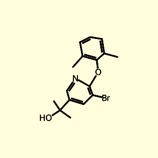 Cc1cccc(C)c1Oc1ncc(C(C)(C)O)cc1Br